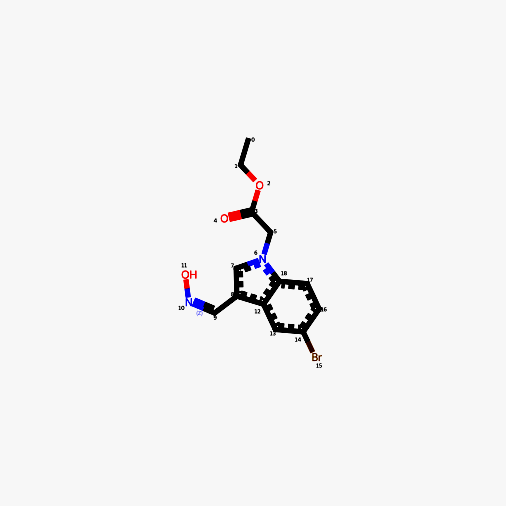 CCOC(=O)Cn1cc(/C=N\O)c2cc(Br)ccc21